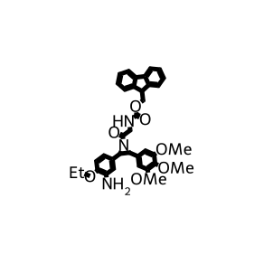 CCOc1ccc(C2C(c3cc(OC)c(OC)c(OC)c3)N2C(=O)CNC(=O)OCC2c3ccccc3-c3ccccc32)cc1N